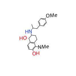 CNc1c(O)ccc2c1CC[C@H](NC(C)Cc1ccc(OC)cc1)[C@H]2O